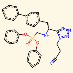 N#CCCn1nnnc1[C@H](Cc1ccc(-c2ccccc2)cc1)NCP(=O)(Oc1ccccc1)Oc1ccccc1